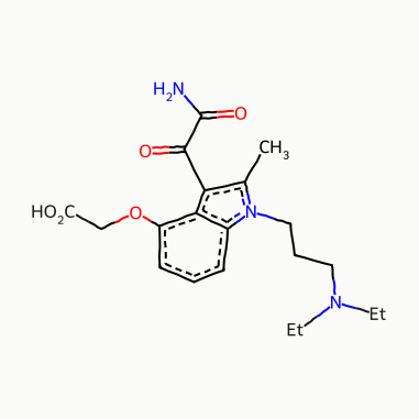 CCN(CC)CCCn1c(C)c(C(=O)C(N)=O)c2c(OCC(=O)O)cccc21